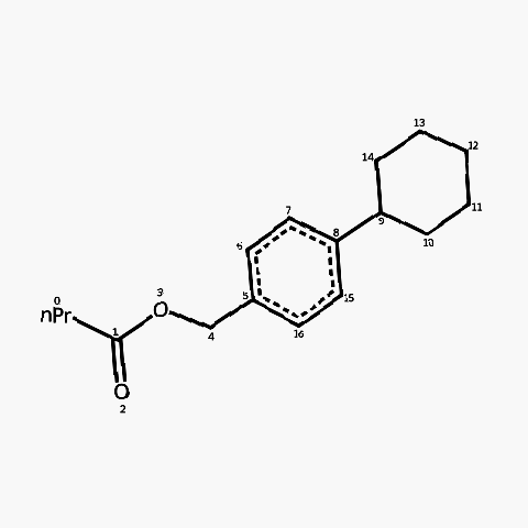 CCCC(=O)OCc1ccc(C2CCCCC2)cc1